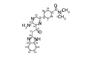 CN(C)C(=O)c1ccc(-c2cnc(N)c(C(=O)Cc3nc4ccccc4[nH]3)n2)cc1